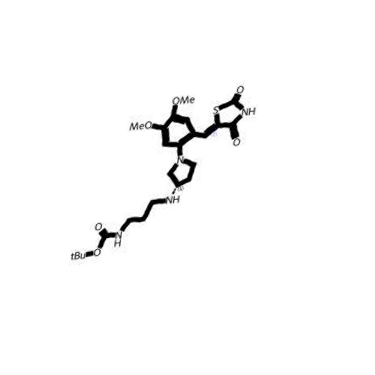 COc1cc(/C=C2\SC(=O)NC2=O)c(N2CC[C@H](NCCCNC(=O)OC(C)(C)C)C2)cc1OC